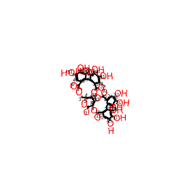 O=C1OCC2OC(=O)c3oc(=O)c4cc(O)c(O)c(O)c4c4c(O)c(O)c(O)cc4c(=O)oc3C2OC(=O)c2cc(O)c(O)c(O)c2-c2c1cc(O)c(O)c2O